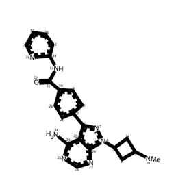 CNC1CC(n2nc(-c3ccc(C(=O)Nc4ccccn4)cc3)c3c(N)ncnc32)C1